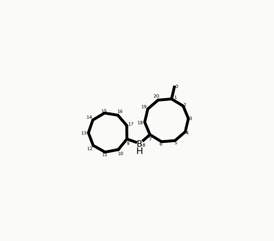 CC1CCCCCC(BC2CCCCCCCC2)CCC1